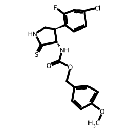 COc1ccc(COC(=O)N[C@@H]2C(=S)NC[C@H]2c2ccc(Cl)cc2F)cc1